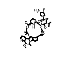 CCn1c(-c2cccnc2[C@H](C)OC)c2c3cc(ccc31)-c1csc(n1)C[C@H](NC(=O)[C@H](C(C)C)N(C)C(=O)N1C[C@H](N)[C@@H](F)C1)C(=O)N1CCC[C@H](N1)C(=O)OCC(C)(C)C2